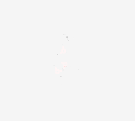 C=CCOCC1COC2(CCCCCCC2)O1